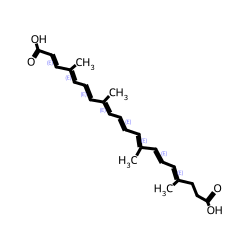 CC(/C=C/C=C(C)/C=C/C(=O)O)=C\C=C\C=C(C)\C=C\C=C(/C)CCC(=O)O